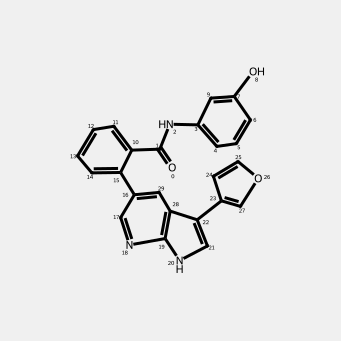 O=C(Nc1cccc(O)c1)c1ccccc1-c1cnc2[nH]cc(-c3ccoc3)c2c1